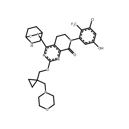 O=C1c2nc(OCC3(CN4CCOCC4)CC3)nc(N3CC4CCC3CN4)c2CCN1c1cc(O)cc(Cl)c1C(F)(F)F